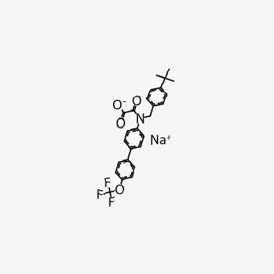 CC(C)(C)c1ccc(CN(C(=O)C(=O)[O-])c2ccc(-c3ccc(OC(F)(F)F)cc3)cc2)cc1.[Na+]